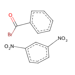 O=C(Br)c1ccccc1.O=[N+]([O-])c1cccc([N+](=O)[O-])c1